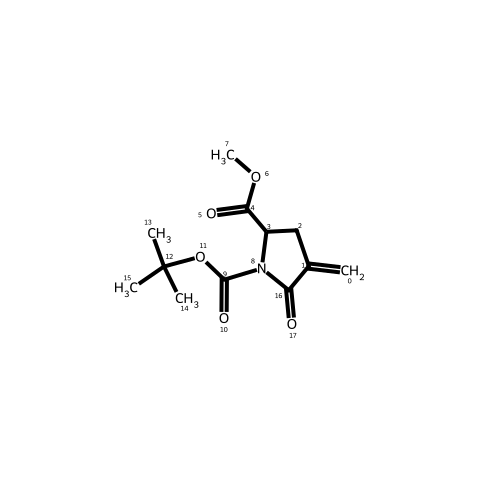 C=C1CC(C(=O)OC)N(C(=O)OC(C)(C)C)C1=O